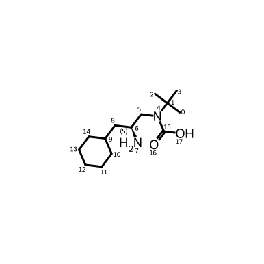 CC(C)(C)N(C[C@@H](N)CC1CCCCC1)C(=O)O